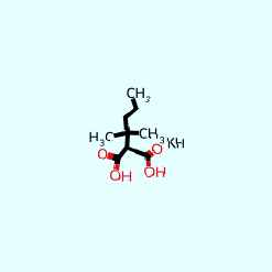 CCCC(C)(C)C(C(=O)O)C(=O)O.[KH]